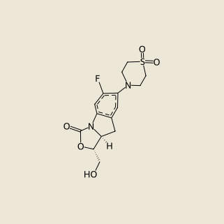 O=C1O[C@@H](CO)[C@@H]2Cc3cc(N4CCS(=O)(=O)CC4)c(F)cc3N12